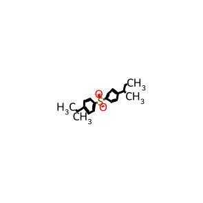 CCC(C)c1ccc(S(=O)(=O)c2ccc(C(C)C)cc2)cc1